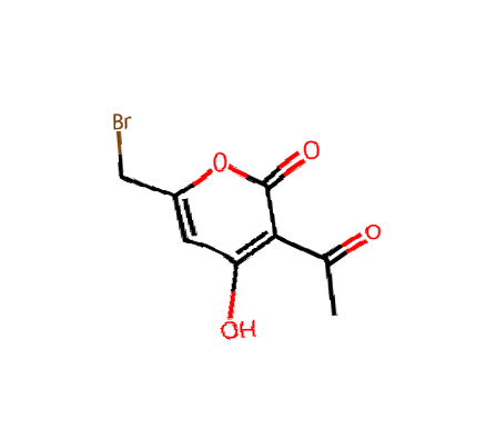 CC(=O)c1c(O)cc(CBr)oc1=O